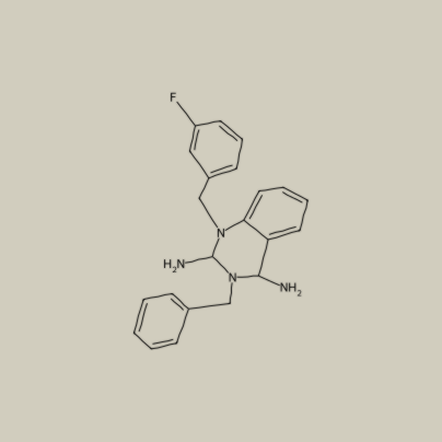 NC1c2ccccc2N(Cc2cccc(F)c2)C(N)N1Cc1ccccc1